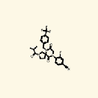 CC(C)C(=O)N1CCC2(C1)C(=O)N(c1ccc(C#N)cc1F)CC(=O)N2Cc1ccc(C(F)(F)F)cc1